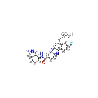 O=C(O)CCCCc1nc2cc(C(=O)N[C@@H]3CCCc4ccncc43)ccc2nc1-c1ccc(F)cc1